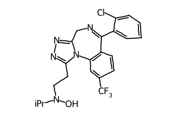 CC(C)N(O)CCc1nnc2n1-c1cc(C(F)(F)F)ccc1C(c1ccccc1Cl)=NC2